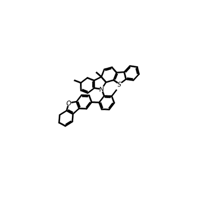 Cc1cccc(-c2ccc3oc4c(c3c2)C=CCC4)c1N1C2=C(CC(C)C=C2)C2(C)C=Cc3c(sc4ccccc34)C12